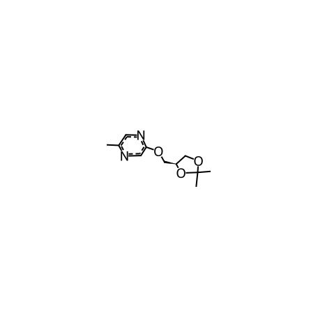 Cc1cnc(OC[C@H]2COC(C)(C)O2)cn1